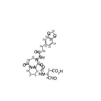 O=C[C@H](CC(=O)O)NC(=O)[C@@H]1CCCN2C(=O)CCN(NC(=O)CCc3ccc4c(c3)OCO4)C(=O)N12